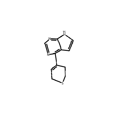 C1=C(c2ncnc3[nH]ccc23)CCSC1